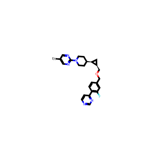 CCc1cnc(N2CCC([C@H]3C[C@H]3COCc3ccc(-c4ccncn4)c(F)c3)CC2)nc1